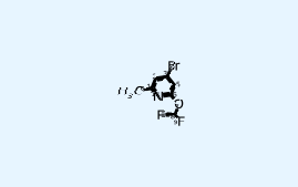 Cc1cc(Br)cc(OC(F)F)n1